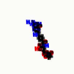 Nc1nc2ncc(CNc3ccc(C(=O)CNC(CCC(=O)ON4C(=O)CCC4=O)C(=O)O)cc3)nc2c(=O)[nH]1